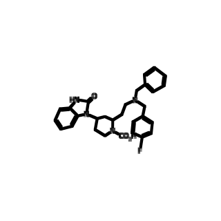 O=C(O)N1CCC(n2c(=O)[nH]c3ccccc32)CC1CCN(Cc1ccccc1)Cc1ccc(F)cc1